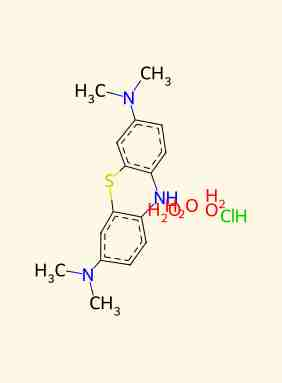 CN(C)c1ccc2c(c1)Sc1cc(N(C)C)ccc1N2.Cl.O.O.O